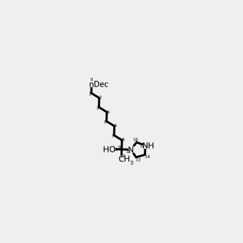 CCCCCCCCCCCCCCCCCCC(C)(O)N1CCNC1